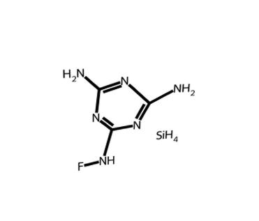 Nc1nc(N)nc(NF)n1.[SiH4]